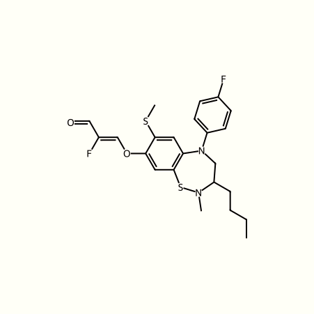 CCCCC1CN(c2ccc(F)cc2)c2cc(SC)c(O/C=C(\F)C=O)cc2SN1C